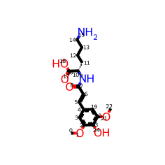 COc1cc(/C=C/C(=O)N[C@@H](CCCCN)C(=O)O)cc(OC)c1O